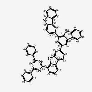 c1ccc(-c2nc(-c3ccccc3)nc(-c3cccc4c3oc3cc(-c5cc(-c6ccc7sc8ccccc8c7c6)c6sc7ccccc7c6c5)ccc34)n2)cc1